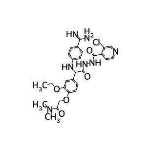 CCOc1cc(C(Nc2ccc(C(=N)N)cc2)C(=O)NNC(=O)c2ccncc2Cl)ccc1OCC(=O)N(C)C